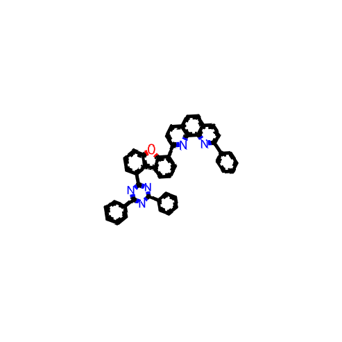 c1ccc(-c2ccc3ccc4ccc(-c5cccc6c5oc5cccc(-c7nc(-c8ccccc8)nc(-c8ccccc8)n7)c56)nc4c3n2)cc1